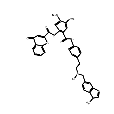 CCN(CCc1ccc(NC(=O)c2cc(OC)c(OC)cc2NC(=O)c2cc(=O)c3ccccc3o2)cc1)Cc1ccc2c(c1)ncn2C